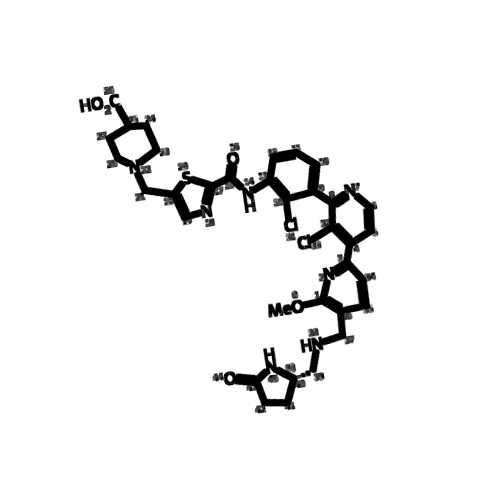 COc1nc(-c2ccnc(-c3cccc(NC(=O)c4ncc(CN5CCC(C(=O)O)CC5)s4)c3Cl)c2Cl)ccc1CNC[C@@H]1CCC(=O)N1